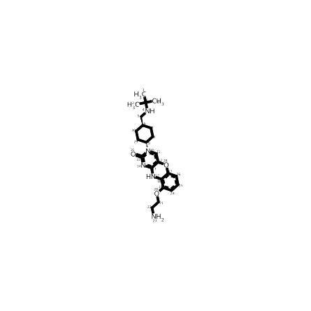 CC(C)(C)NC[C@H]1CC[C@H](n2cc3c(nc2=O)Nc2c(OCCN)cccc2O3)CC1